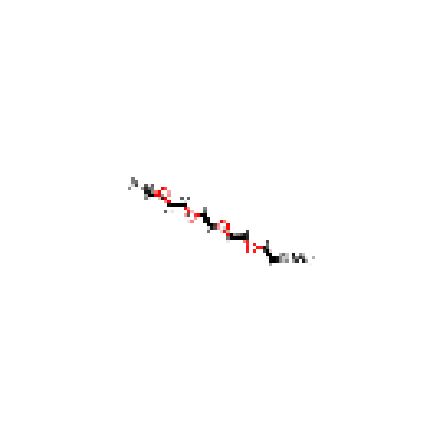 CNCCOCCOCCOCCOCC(C)=O